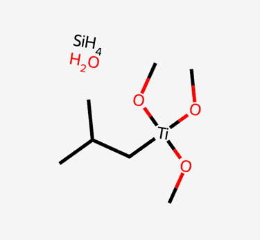 C[O][Ti]([CH2]C(C)C)([O]C)[O]C.O.[SiH4]